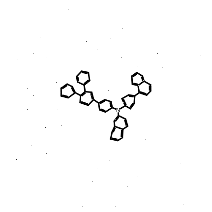 c1ccc(-c2ccc(-c3ccc(N(c4ccc(-c5cccc6ccccc56)cc4)c4ccc5ccccc5c4)cc3)cc2-c2ccccc2)cc1